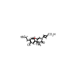 CC(C)C1=CN(C23CC(C(=O)O)(C2)C3)C(=O)N[C@]1(C)c1ccc(CCC(C)(C)C)c(Cl)c1